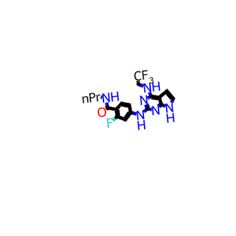 CCCNC(=O)c1ccc(Nc2nc(NCC(F)(F)F)c3cc[nH]c3n2)cc1F